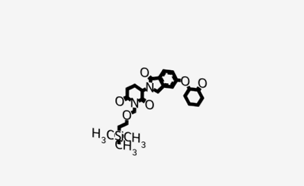 C[Si](C)(C)CCOCN1C(=O)CCC(N2Cc3cc(OC4CCCCC4=O)ccc3C2=O)C1=O